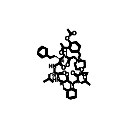 CC(=O)Oc1ccc(C[N+]2(CC(=O)N[C@@H](CCc3ccccc3)C(=O)N[C@@H](CC(C)C)C(=O)N[C@@H](Cc3ccccc3)C(=O)N[C@@H](CC(C)C)C(=O)[C@@]3(C)CO3)CCOCC2)cc1C(C)=O